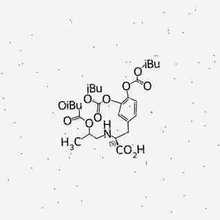 CCC(C)OC(=O)Oc1ccc(C[C@H](NCC(C)OC(=O)OCC(C)C)C(=O)O)cc1OC(=O)OC(C)CC